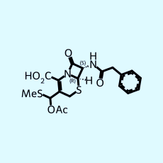 CSC(OC(C)=O)C1=C(C(=O)O)N2C(=O)[C@H](NC(=O)Cc3ccccc3)[C@H]2SC1